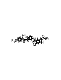 CC(C)C(=O)NCc1ccc(Cl)c(C(=O)Nc2ccc3c(c2)cc(C(=O)Nc2ccc(C(F)(F)F)nc2)n3C)c1